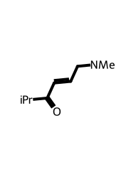 CNC/C=C/C(=O)C(C)C